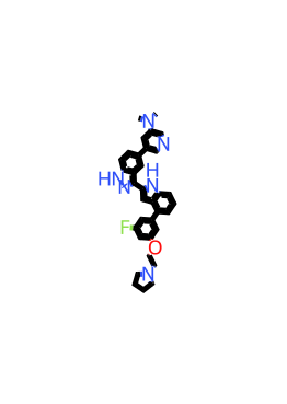 CN(C)c1cncc(-c2ccc3[nH]nc(-c4cc5c(-c6cc(F)cc(OCCN7CCCC7)c6)cccc5[nH]4)c3c2)c1